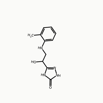 Cc1ccccc1NCC(O)c1n[nH]c(=O)[nH]1